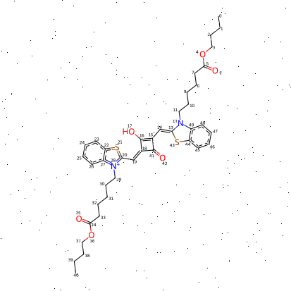 CCCCOC(=O)CCCCCN1/C(=C/C2=C(O)C(=C\c3sc4ccccc4[n+]3CCCCCC(=O)OCCCC)/C2=O)Sc2ccccc21